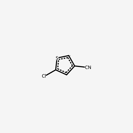 N#Cc1[c]sc(Cl)c1